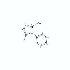 CCCCn1cc[n+](C)c1-c1ccccc1